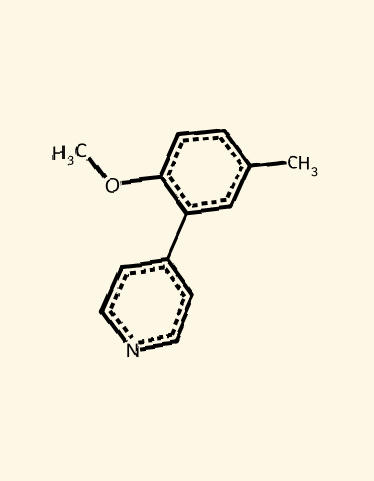 COc1ccc(C)cc1-c1ccncc1